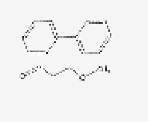 COCCC=O.c1ccc(-c2ccccc2)cc1